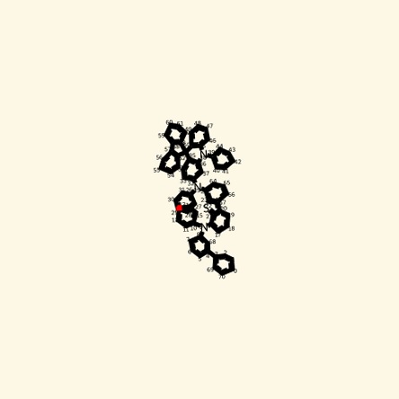 c1ccc(-c2cccc(N(c3ccccc3)c3cccc4c3sc3c(N(c5ccccc5)c5ccc6c(c5)N(c5ccccc5)c5ccccc5C65c6ccccc6-c6ccccc65)cccc34)c2)cc1